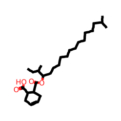 CCC(C)C(CCCCCCCCCCCCC(C)C)OC(=O)C1CC=CCC1C(=O)O